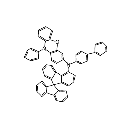 c1ccc(-c2ccc(N(c3ccc4c(c3)Oc3ccccc3N4c3ccccc3)c3cccc4c3-c3ccccc3C43c4ccccc4-c4ccccc43)cc2)cc1